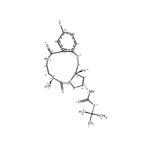 CC(C)(C)OC(=O)N[C@H]1C[C@H]2COc3ccc(F)cc3C(=O)NCC[C@H](N)C(=O)N2C1